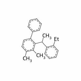 CCc1ccccc1C(C)c1c(-c2ccccc2)ccc(C)c1C